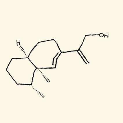 C=C(CO)C1=C[C@]2(C)[C@@H](CCC[C@H]2C)CC1